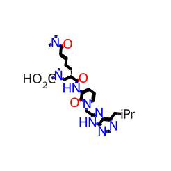 CC(C)Cc1ncnc2[nH]c(Cn3cccc(NC(=O)[C@@H](CC/C=C/C(=O)N(C)C)CN(C)C(=O)O)c3=O)nc12